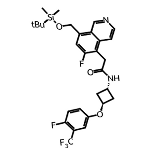 CC(C)(C)[Si](C)(C)OCc1cc(F)c(CC(=O)N[C@H]2C[C@H](Oc3ccc(F)c(C(F)(F)F)c3)C2)c2ccncc12